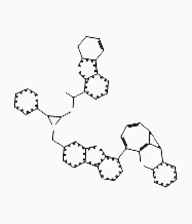 NC(NC1C(c2ccccc2)N1Cc1ccc2c(c1)sc1c(C3=CC=CC4C5=C3Oc3ccccc3C54)cccc12)c1cccc2c3c(sc12)CCC=C3